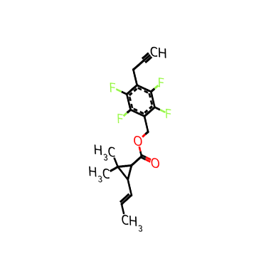 C#CCc1c(F)c(F)c(COC(=O)C2C(C=CC)C2(C)C)c(F)c1F